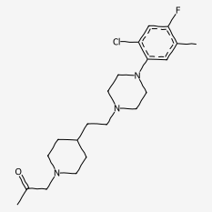 CC(=O)CN1CCC(CCN2CCN(c3cc(C)c(F)cc3Cl)CC2)CC1